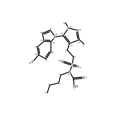 CCCCN(C(=O)O)S(=O)(=O)CCc1c(C)nn(C)c1-n1ccc2cc(F)ccc21